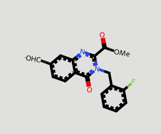 COC(=O)c1nc2cc([C]=O)ccc2c(=O)n1Cc1ccccc1F